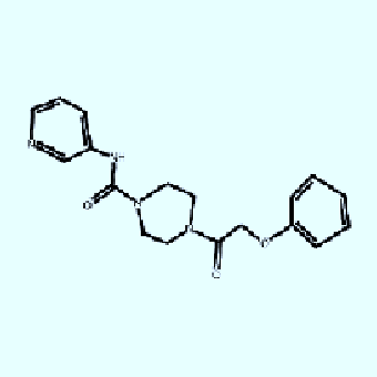 O=C(COc1ccccc1)N1CCN(C(=O)Nc2cccnc2)CC1